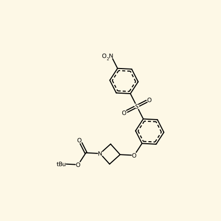 CC(C)(C)OC(=O)N1CC(Oc2cccc(S(=O)(=O)c3ccc([N+](=O)[O-])cc3)c2)C1